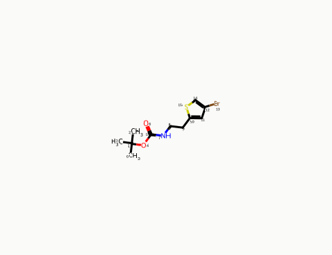 CC(C)(C)OC(=O)NCCc1cc(Br)cs1